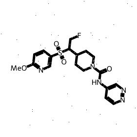 COc1ccc(S(=O)(=O)C(CF)C2CCN(C(=O)Nc3ccnnc3)CC2)cn1